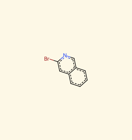 Brc1cc2ccccc2cn1